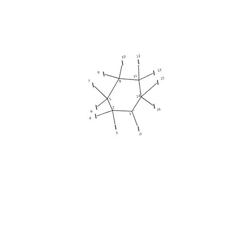 I[C]1C(I)(I)C(I)(I)C(I)(I)C(I)(I)C1(I)I